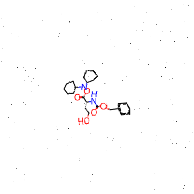 O=C(N[C@H](CCO)C(=O)ON(C1CCCCC1)C1CCCCC1)OCc1ccccc1